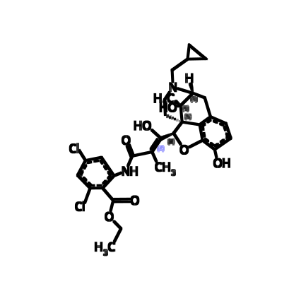 CCOC(=O)c1c(Cl)cc(Cl)cc1NC(=O)/C(C)=C(\O)[C@@H]1Oc2c(O)ccc3c2[C@@]12CCN(CC1CC1)[C@H](C3)[C@@]2(C)O